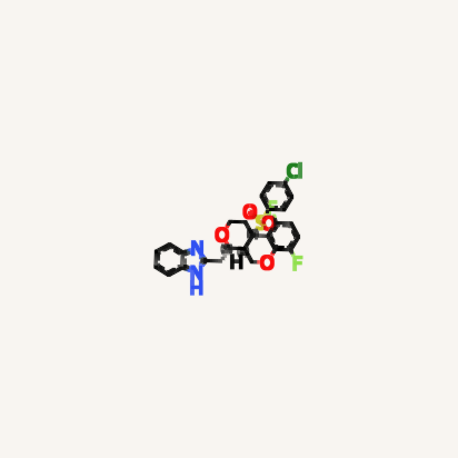 O=S(=O)(c1ccc(Cl)cc1)[C@@]12CCO[C@@H](Cc3nc4ccccc4[nH]3)[C@@H]1COc1c(F)ccc(F)c12